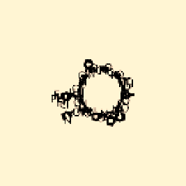 CC(C)C[C@@H]1NC(=O)[C@H](CC(C)C)N(C)C(=O)C[C@@H](C(=O)N2CCCCC2)N(C)C(=O)[C@H](C2CCCCC2)N(C)C(=O)C2(CCCC2)NC(=O)[C@@H]2C[C@H](OCc3cccnc3)CN2C(=O)[C@H](CCc2ccc(C(F)(F)F)c(Cl)c2)NC(=O)CN(C)C(=O)[C@H](CC2CCCCC2)N(C)C(=O)CN(C)C(=O)CN(C)C1=O